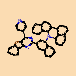 c1ccc2c(N3c4c(ccc5ccccc45)-c4cccc5cccc3c45)cc(-c3nc(-c4ccncc4)c4sc5ccccc5c4n3)cc2c1